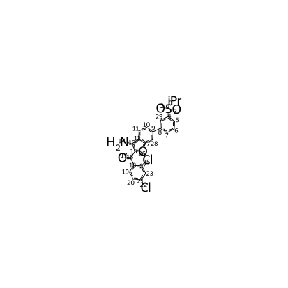 CC(C)S(=O)(=O)c1cccc(-c2ccc3c(N)c(C(=O)c4ccc(Cl)cc4Cl)oc3c2)c1